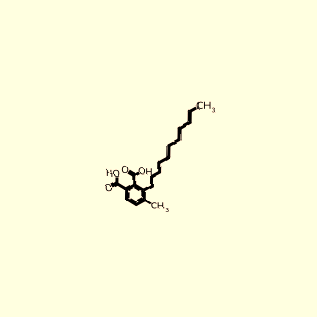 CCCCCCCCCCCc1c(C)ccc(C(=O)O)c1C(=O)O